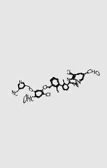 Cc1c(COc2cc(OCc3cncc(C#N)c3)c(C=O)cc2Cl)cccc1-c1cccc(-c2nc3c(Cl)cc(C=O)cn3n2)c1C